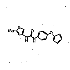 CC(C)(C)c1cc(NC(=O)Nc2ccc(Oc3ccccc3)cc2)cs1